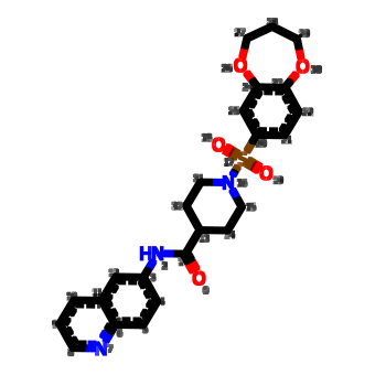 O=C(Nc1ccc2ncccc2c1)C1CCN(S(=O)(=O)c2ccc3c(c2)OCCCO3)CC1